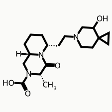 C[C@H]1C(=O)N2[C@@H](CCN3CCC4(CC4)C(O)C3)CCC[C@H]2CN1C(=O)O